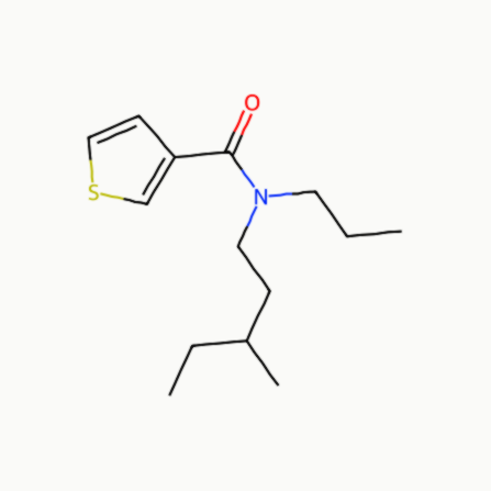 CCCN(CCC(C)CC)C(=O)c1ccsc1